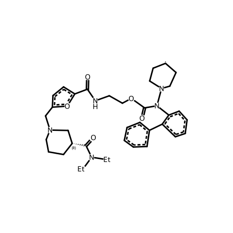 CCN(CC)C(=O)[C@@H]1CCCN(Cc2ccc(C(=O)NCCOC(=O)N(c3ccccc3-c3ccccc3)N3CC[CH]CC3)o2)C1